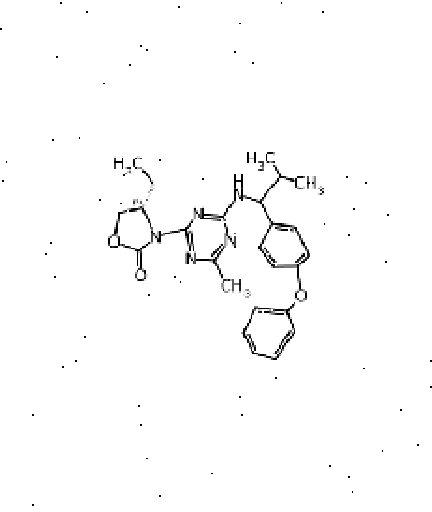 CC[C@H]1COC(=O)N1c1nc(C)nc(NC(c2ccc(Oc3ccccc3)cc2)C(C)C)n1